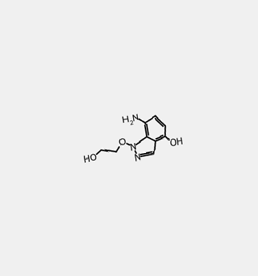 Nc1ccc(O)c2cnn(OCCO)c12